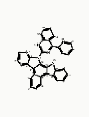 c1ccc(-c2nc(-n3c4ncccc4c4c5ccccc5c5c6ccccc6sc5c43)nc3ccccc23)nc1